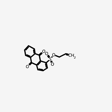 C=CCOS(=O)(=O)c1cccc2c1C(=O)c1ccccc1C2=O